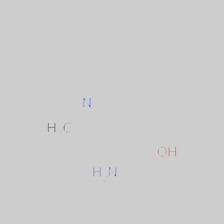 CN1CCCCC1C(N)O